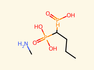 CCCC([PH](=O)O)P(=O)(O)O.CN